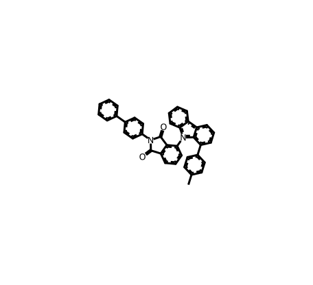 Cc1ccc(-c2cccc3c4ccccc4n(-c4cccc5c4C(=O)N(c4ccc(-c6ccccc6)cc4)C5=O)c23)cc1